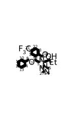 CCC(O)C(N(CCOCc1ccccc1)C(=O)c1ccc(C(F)(F)F)cc1)n1cncn1